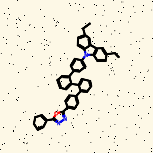 CCc1ccc2c(c1)c1cc(CC)ccc1n2-c1ccc(-c2ccccc2-c2ccccc2-c2ccc(-c3nnc(C4=CCCC=C4)o3)cc2)cc1